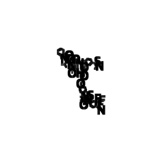 Cc1ncsc1-c1ccc(CNC(=O)[C@@H]2C[C@@H](O)CN2C(=O)C(C(C)C)N2Cc3ccccc3C2=O)c(OCCOCCOc2ccc(N3C(=S)N(c4ccc(C#N)c(C(F)(F)F)c4)C(=O)C3(C)C)cc2)c1